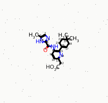 Cc1cnc(C(=O)Nc2ccc(CC(=O)O)nc2C2=CCC(C)(C)CC2)[nH]1